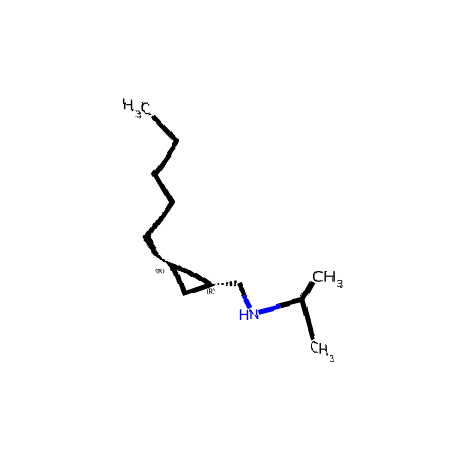 CCCCC[C@@H]1C[C@H]1CNC(C)C